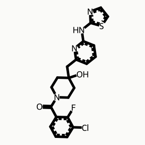 O=C(c1cccc(Cl)c1F)N1CCC(O)(Cc2cccc(Nc3nccs3)n2)CC1